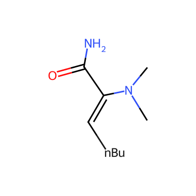 CCCCC=C(C(N)=O)N(C)C